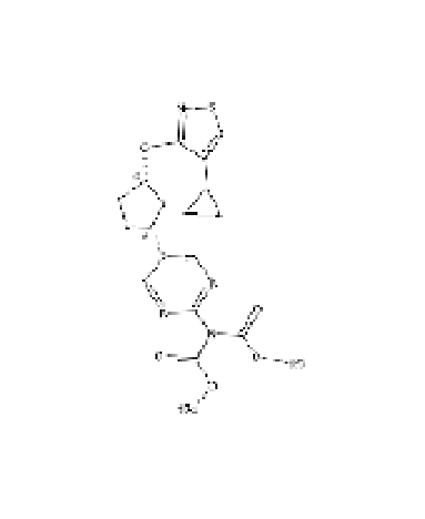 CC(C)(C)OC(=O)N(C(=O)OC(C)(C)C)c1ncc([C@@H]2CC[C@H](Oc3nscc3C3CC3)C2)cn1